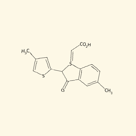 Cc1csc(C2C(=O)c3cc(C)ccc3S2=CC(=O)O)c1